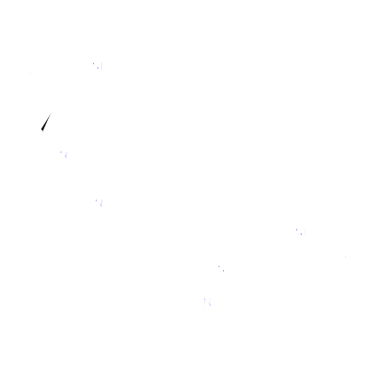 Cc1nn(C2CCC(=O)NC2=O)c(=O)c2cc(N3CCN(C[C@@H]4CNCCO4)CC3)ccc12